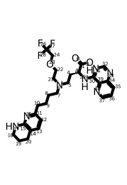 O=C(O)[C@H](CCN(CCCCc1ccc2c(n1)NCCC2)CCOCC(F)(F)F)Nc1ncnc2cccnc12